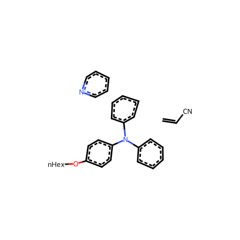 C=CC#N.CCCCCCOc1ccc(N(c2ccccc2)c2ccccc2)cc1.c1ccncc1